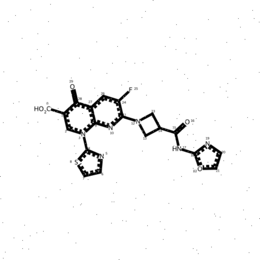 O=C(O)c1cn(-c2nccs2)c2nc(N3CC(C(=O)Nc4ncco4)C3)c(F)cc2c1=O